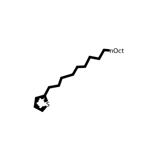 [CH2]CCCCCCCCCCCCCCCCc1cccs1